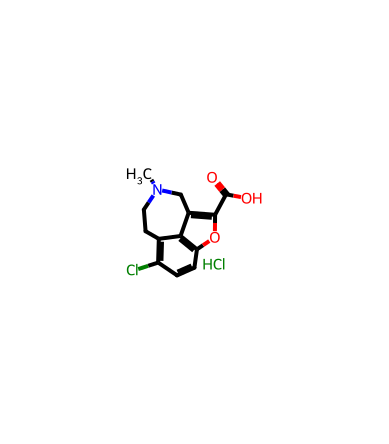 CN1CCc2c(Cl)ccc3oc(C(=O)O)c(c23)C1.Cl